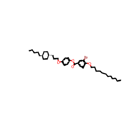 CCCCCCCCCCCCOc1ccc(C(=O)Oc2ccc(OCCC[C@H]3CC[C@H](CCCCC)CC3)cc2)cc1Br